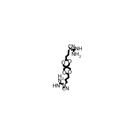 N#CN(CCCC1OCC2(CO1)COC(CCCN(C#N)C(=N)N)OC2)C(=N)N